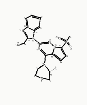 C[C@@H]1COCCN1c1nc(-n2c(CO)nc3ccccc32)nn2c(S(C)(=O)=O)ccc12